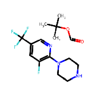 CC(C)(C)OC=O.Fc1cc(C(F)(F)F)cnc1N1CCNCC1